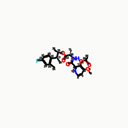 COc1ccnc(C(=O)N[C@@H](C)C(=O)O[C@H](C)[C@@H](C)c2ccc(F)cc2C)c1OC(C)=O